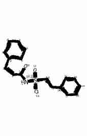 O=C(/C=C\c1ccccc1)NS(=O)(=O)/C=C/c1ccccc1